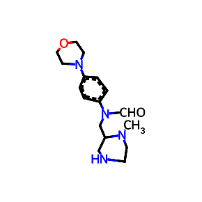 CN1CCNCC1CN(C=O)c1ccc(N2CCOCC2)cc1